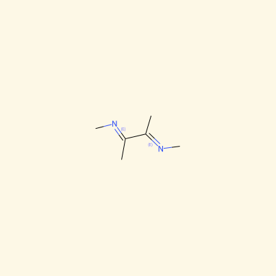 C/N=C(C)/C(C)=N/C